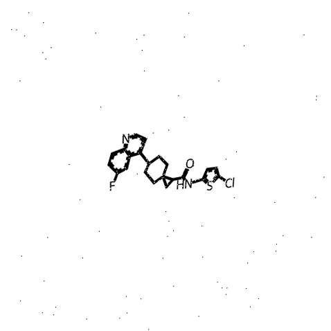 O=C(Nc1ccc(Cl)s1)C1CC12CCC(c1ccnc3ccc(F)cc13)CC2